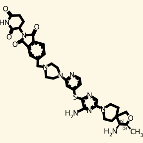 C[C@@H]1OCC2(CCN(c3cnc(Sc4ccnc(N5CCN(Cc6ccc7c(c6)C(=O)N(C6CCC(=O)NC6=O)C7=O)CC5)c4)c(N)n3)CC2)[C@@H]1N